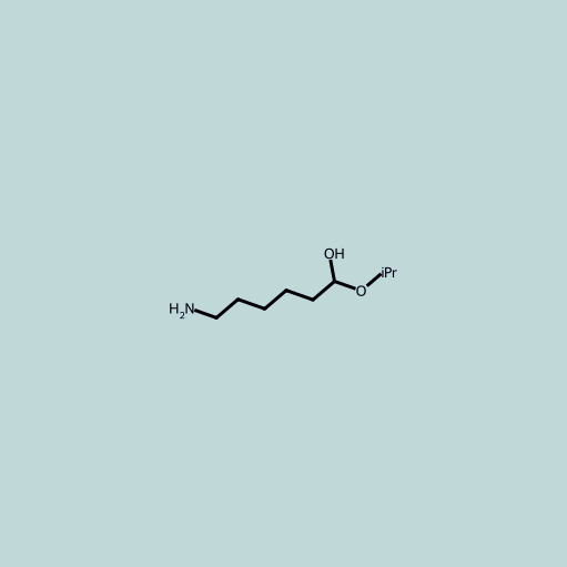 CC(C)OC(O)CCCCCN